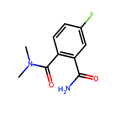 CN(C)C(=O)c1ccc(F)cc1C(N)=O